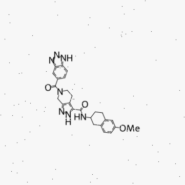 COc1ccc2c(c1)CCC(NC(=O)c1[nH]nc3c1CCN(C(=O)c1ccc4[nH]nnc4c1)C3)C2